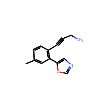 Cc1ccc(C#CCN)c(-c2cnco2)c1